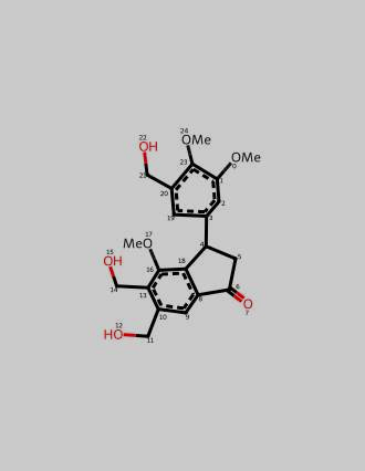 COc1cc(C2CC(=O)c3cc(CO)c(CO)c(OC)c32)cc(CO)c1OC